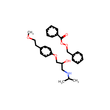 COCCc1ccc(OCC(O)CNC(C)C)cc1.O=C(OOCc1ccccc1)c1ccccc1